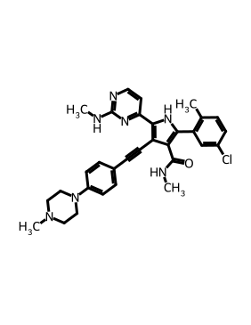 CNC(=O)c1c(-c2cc(Cl)ccc2C)[nH]c(-c2ccnc(NC)n2)c1C#Cc1ccc(N2CCN(C)CC2)cc1